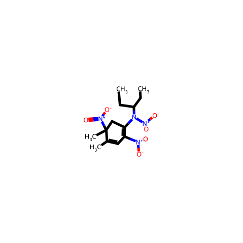 CCC(CC)N(C1=C([N+](=O)[O-])C=C(C)C(C)([N+](=O)[O-])C1)[N+](=O)[O-]